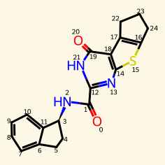 O=C(N[C@H]1CCc2ccccc21)c1nc2sc3c(c2c(=O)[nH]1)CCC3